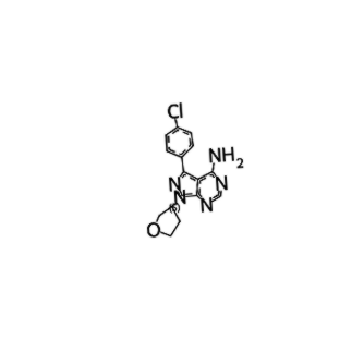 Nc1ncnc2c1c(-c1ccc(Cl)cc1)nn2[C@H]1CCOC1